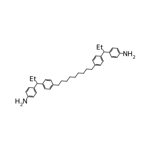 CCC(c1ccc(N)cc1)c1ccc(CCCCCCCCCc2ccc(C(CC)c3ccc(N)cc3)cc2)cc1